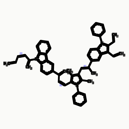 C=C/C=C\C(=C)n1c2ccccc2c2cc(C(=C)/C=C\c3c(C)c(/C=C(\C)c4ccc5c(c4)c(C=C)c(C=C)n5-c4ccccc4)c(C)n3-c3ccccc3)ccc21